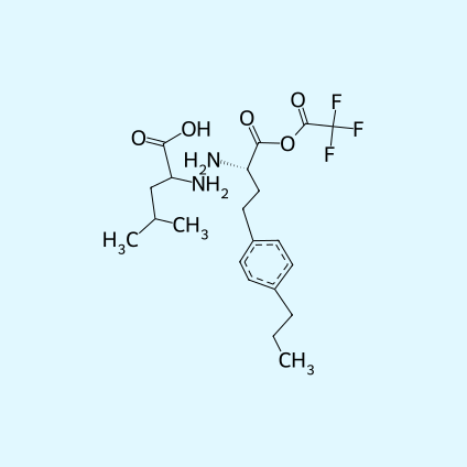 CC(C)CC(N)C(=O)O.CCCc1ccc(CC[C@H](N)C(=O)OC(=O)C(F)(F)F)cc1